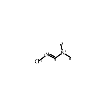 CN(C)/C=N/Cl